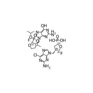 CC(C)OP(=O)(OC(C)C)[C@]1(F)OCCC1Cn1cnc2c(O)nc(N)nc21.Nc1nc(Cl)c2ncn(C[C@H]3C[C@H](P(=O)(O)O)O[C@@H]3F)c2n1